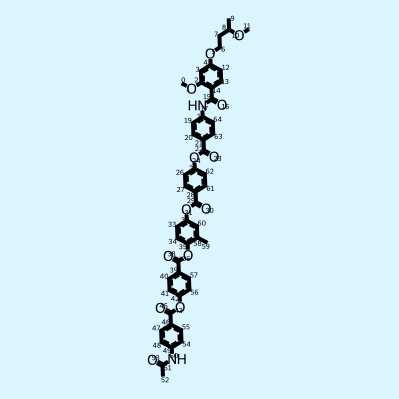 COc1cc(OCCC(C)OC)ccc1C(=O)Nc1ccc(C(=O)Oc2ccc(C(=O)Oc3ccc(OC(=O)c4ccc(OC(=O)c5ccc(NC(C)=O)cc5)cc4)c(C)c3)cc2)cc1